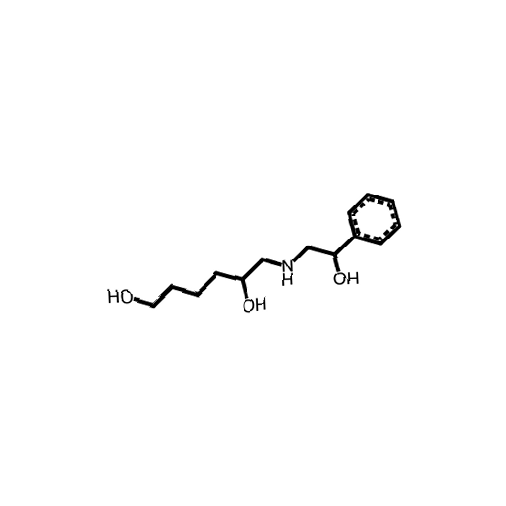 OCCCCC(O)CNCC(O)c1ccccc1